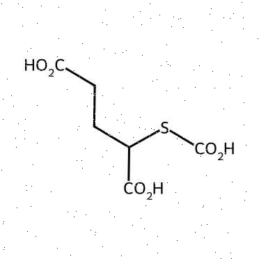 O=C(O)CCC(SC(=O)O)C(=O)O